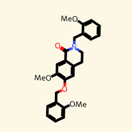 COc1ccccc1COc1cc2c(cc1OC)C(=O)N(Cc1ccccc1OC)CC2